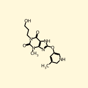 CC1=CC(Oc2nc3c([nH]2)c(=O)n(CCCO)c(=O)n3C)=CNC1